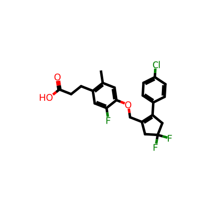 Cc1cc(OCC2=C(c3ccc(Cl)cc3)CC(F)(F)C2)c(F)cc1CCC(=O)O